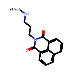 CCCCCCCNCCCN1C(=O)c2cccc3cccc(c23)C1=O